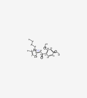 CCCCN1C(C)=CS/C1=C\C(=O)c1ccc(OC)cc1OC